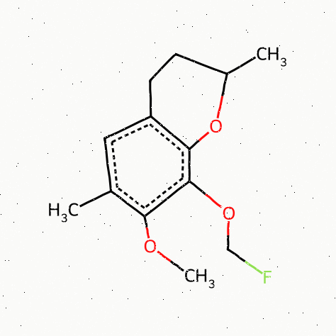 COc1c(C)cc2c(c1OCF)OC(C)CC2